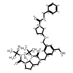 CC(C)(C)OC(=O)N1CCC(CN(Cc2cc(CO)cc(COC3CCN(C(=O)OCc4ccccc4)C3)c2)C(=O)OC(C)(C)C)C1